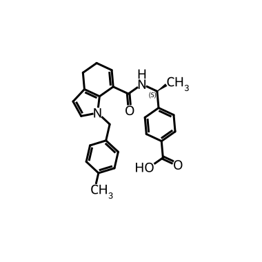 Cc1ccc(Cn2ccc3c2C(C(=O)N[C@@H](C)c2ccc(C(=O)O)cc2)=CCC3)cc1